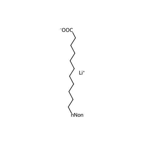 CCCCCCCCCCCCCCCCCCCC(=O)[O-].[Li+]